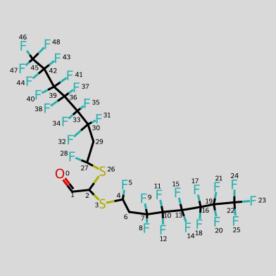 O=CC(SC(F)CC(F)(F)C(F)(F)C(F)(F)C(F)(F)C(F)(F)C(F)(F)F)SC(F)CC(F)(F)C(F)(F)C(F)(F)C(F)(F)C(F)(F)C(F)(F)F